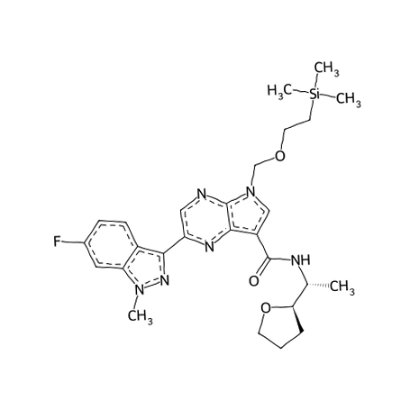 C[C@@H](NC(=O)c1cn(COCC[Si](C)(C)C)c2ncc(-c3nn(C)c4cc(F)ccc34)nc12)[C@H]1CCCO1